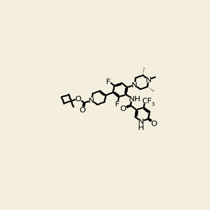 C[C@@H]1CN(c2cc(F)c(C3=CCN(C(=O)OC4(C)CCC4)CC3)c(F)c2NC(=O)c2c[nH]c(=O)cc2C(F)(F)F)C[C@H](C)N1C